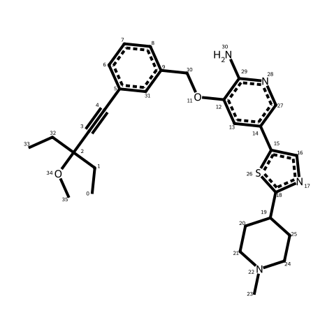 CCC(C#Cc1cccc(COc2cc(-c3cnc(C4CCN(C)CC4)s3)cnc2N)c1)(CC)OC